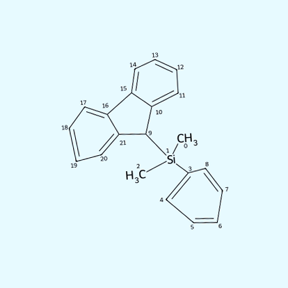 C[Si](C)(c1ccccc1)C1c2ccccc2-c2ccccc21